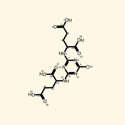 O=C(O)CCC(Nc1nc(Cl)nc(NC(CCC(=O)O)C(=O)O)n1)C(=O)O